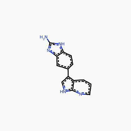 Nc1nc2cc(-c3c[nH]c4ncccc34)ccc2[nH]1